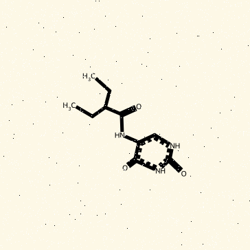 CCC(CC)C(=O)Nc1c[nH]c(=O)[nH]c1=O